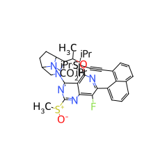 CC1Oc2nc(-c3cccc4cccc(C#C[Si](C(C)C)(C(C)C)C(C)C)c34)c(F)c3nc([S+](C)[O-])nc(c23)N2CC3CCC(C12)N3C(=O)O